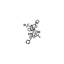 CC(O)C(NC(=O)OCc1ccccc1)C(=O)N1CCCC12C(=O)N(CC(=O)N1CCCC1)C2C